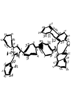 C1=C(c2ccc(-c3ccc(-n4c5cc6ccccc6cc5oc5ccc6c7ccccc7c6c54)cc3)cc2)N=C(c2ccccc2)NC1c1ccccc1